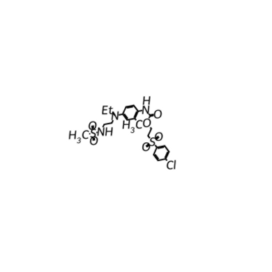 CCN(CCNS(C)(=O)=O)c1ccc(NC(=O)OCCS(=O)(=O)c2ccc(Cl)cc2)c(C)c1